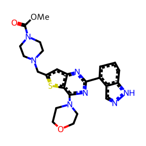 COC(=O)N1CCN(Cc2cc3nc(-c4cccc5[nH]ncc45)nc(N4CCOCC4)c3s2)CC1